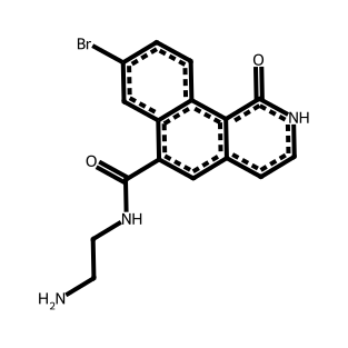 NCCNC(=O)c1cc2cc[nH]c(=O)c2c2ccc(Br)cc12